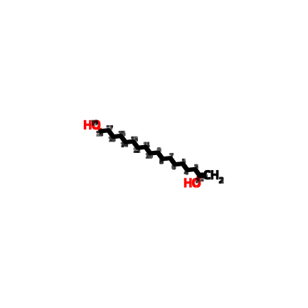 C=C(O)CCCCCCCCCCCCCCCCO